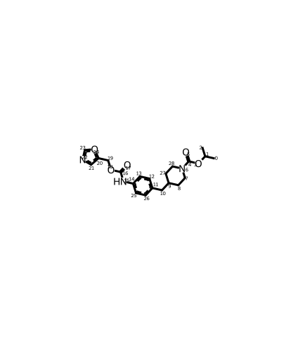 CC(C)OC(=O)N1CCC(Cc2ccc(NC(=O)OCc3cnco3)cc2)CC1